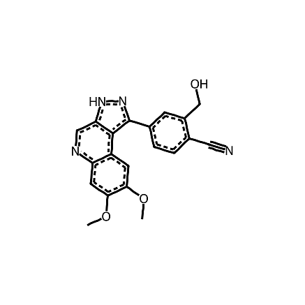 COc1cc2ncc3[nH]nc(-c4ccc(C#N)c(CO)c4)c3c2cc1OC